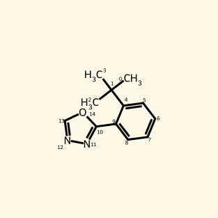 CC(C)(C)c1ccccc1-c1nnco1